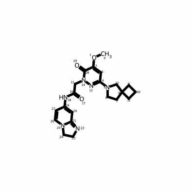 COc1cc(N2CCC3(CCC3)C2)nn(CC(=O)NC2=CC3=NCCN3C=C2)c1=O